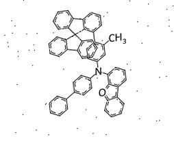 Cc1cc(N(c2ccc(-c3ccccc3)cc2)c2cccc3c2oc2ccccc23)ccc1-c1cccc2c1C1(c3ccccc3-c3ccccc31)c1ccccc1-2